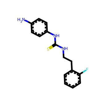 Nc1ccc(NC(=S)NCCc2ccccc2F)cc1